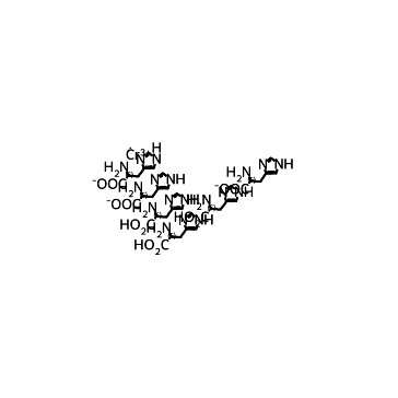 N[C@@H](Cc1c[nH]cn1)C(=O)O.N[C@@H](Cc1c[nH]cn1)C(=O)O.N[C@@H](Cc1c[nH]cn1)C(=O)O.N[C@@H](Cc1c[nH]cn1)C(=O)[O-].N[C@@H](Cc1c[nH]cn1)C(=O)[O-].N[C@@H](Cc1c[nH]cn1)C(=O)[O-].[Cr+3]